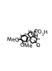 COc1ccc([C@@]23CCC(=O)C[C@@H]2N(C(=O)O)CC3)cc1OC